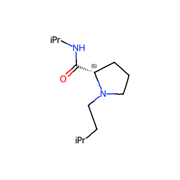 CC(C)CCN1CCC[C@H]1C(=O)NC(C)C